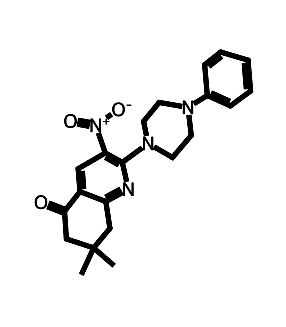 CC1(C)CC(=O)c2cc([N+](=O)[O-])c(N3CCN(c4ccccc4)CC3)nc2C1